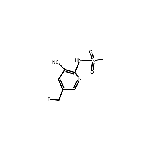 CS(=O)(=O)Nc1ncc(CF)cc1C#N